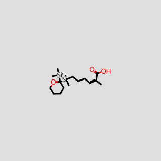 CC(=CCCC[Si](C)(C)C1([Si](C)(C)C)CCCCO1)C(=O)O